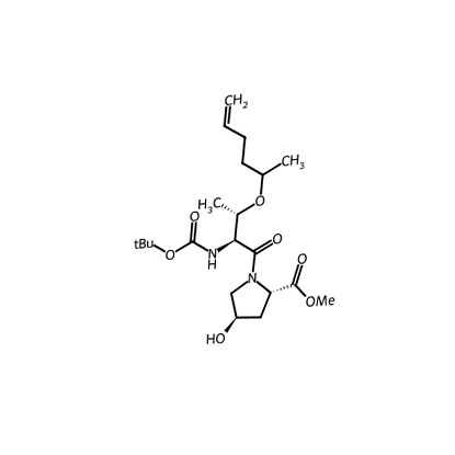 C=CCCC(C)O[C@@H](C)[C@H](NC(=O)OC(C)(C)C)C(=O)N1C[C@H](O)C[C@H]1C(=O)OC